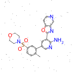 Cc1ccc(S(=O)(=O)N2CCOCC2)cc1-c1cnc(N)c(-c2nc3cnccc3o2)c1